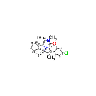 Cc1c(-c2ccc(Cl)cc2)c(C(=O)N(C)CC(C)(C)C)n(Cc2ccccc2)c1C(F)(F)F